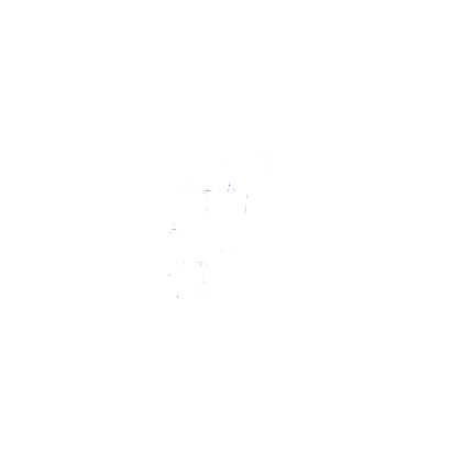 C=CCN(C(=O)OC(C)(C)C)C(CF)CCC(=C)B1OC(C)(C)C(C)(C)O1